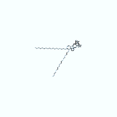 CCCCCCCCCCCCCCCCCCc1ccc2c(oc3cc(Br)c(Br)cc32)c1CCCCCCCCCCCCCCCCCC